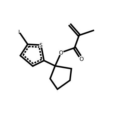 C=C(C)C(=O)OC1(c2ccc(I)s2)CCCC1